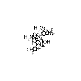 COc1cc(C(=O)NC[C@](O)(c2cc(C(F)(F)C(N)=O)c(F)c(-c3cc(Cl)c(F)cc3F)n2)C2CC2)cc2cn(C3(F)CC3)nc12